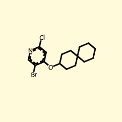 Clc1cc(OC2CCC3(CCCCC3)CC2)c(Br)cn1